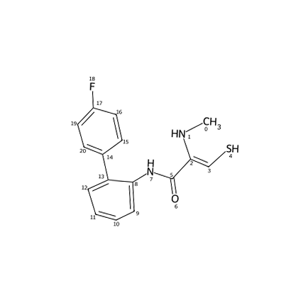 CN/C(=C\S)C(=O)Nc1ccccc1-c1ccc(F)cc1